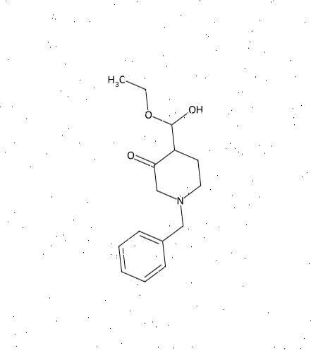 CCOC(O)C1CCN(Cc2ccccc2)CC1=O